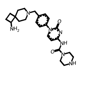 NC1CCC12CCN(Cc1ccc(-n3ccc(NC(=O)N4CCNCC4)nc3=O)cc1)CC2